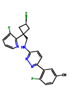 N#Cc1ccc(F)c(-c2ccc(NC[C@]3(c4ncccc4F)C[C@H](F)C3)nn2)c1